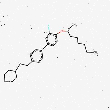 CCCCCCC(C)Oc1ccc(-c2ccc(CCC3CC[CH]CC3)cc2)cc1F